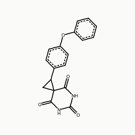 O=C1NC(=O)C2(CC2c2ccc(Oc3ccccc3)cc2)C(=O)N1